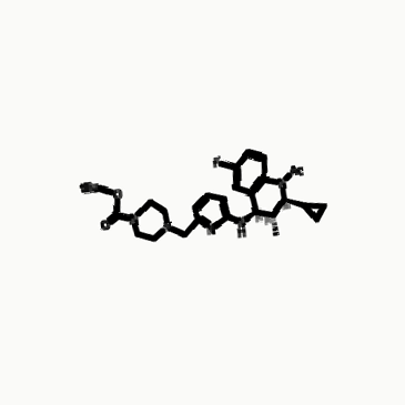 CC(=O)N1c2ccc(F)cc2[C@H](Nc2cccc(CN3CCN(C(=O)OC(C)(C)C)CC3)n2)[C@@H](C)[C@@H]1C1CC1